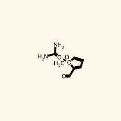 C=O.NC(N)=O.O=Cc1ccco1